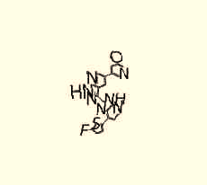 COc1cncc(-c2cnc3[nH]nc(-c4nc5c(-c6ccc(F)s6)ccnc5[nH]4)c3c2)c1